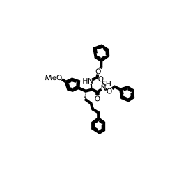 COc1ccc([C@@H](CCCCc2ccccc2)[C@@H](NC(=O)OCc2ccccc2)C(=O)N(S)OCc2ccccc2)cc1